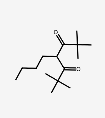 CCCCC(C(=O)C(C)(C)C)C(=O)C(C)(C)C